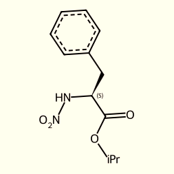 CC(C)OC(=O)[C@H](Cc1ccccc1)N[N+](=O)[O-]